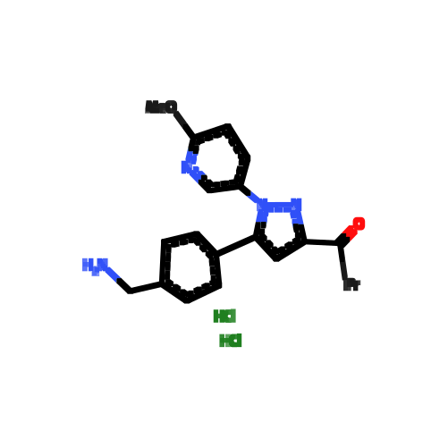 COc1ccc(-n2nc(C(=O)C(C)C)cc2-c2ccc(CN)cc2)cn1.Cl.Cl